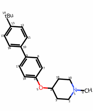 CN1CCC(Oc2ccc(-c3ccc(C(C)(C)C)cc3)cc2)CC1